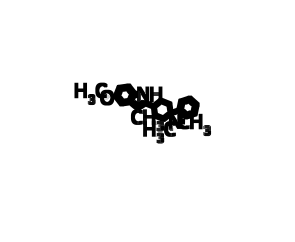 COc1ccc2[nH]c(C3CCC(c4ccccc4)(N(C)C)CC3)c(C)c2c1